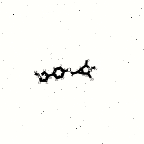 CC1C2C(COc3ccc(-c4ccn(C)c4)cc3)C2C(C)N1C